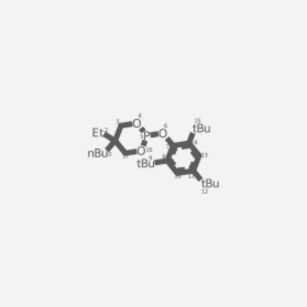 CCCCC1(CC)COP(Oc2c(C(C)(C)C)cc(C(C)(C)C)cc2C(C)(C)C)OC1